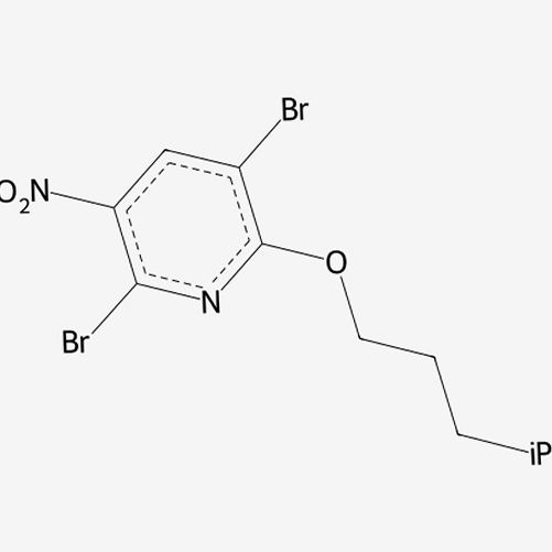 CC(C)CCCOc1nc(Br)c([N+](=O)[O-])cc1Br